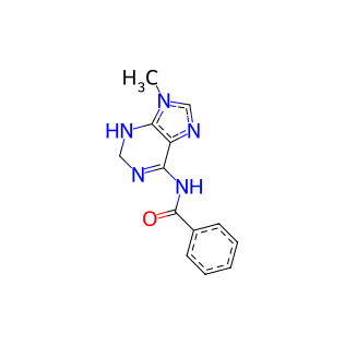 Cn1cnc2c1NCN=C2NC(=O)c1ccccc1